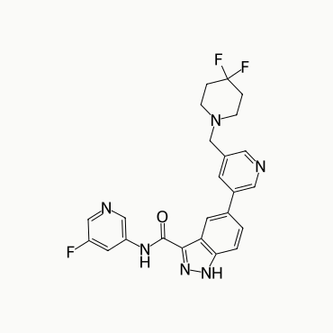 O=C(Nc1cncc(F)c1)c1n[nH]c2ccc(-c3cncc(CN4CCC(F)(F)CC4)c3)cc12